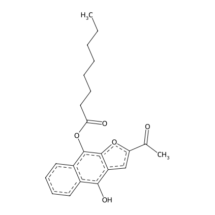 CCCCCCCC(=O)Oc1c2ccccc2c(O)c2cc(C(C)=O)oc12